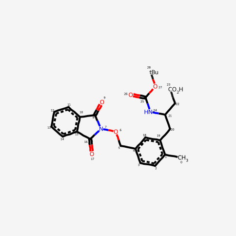 Cc1ccc(CON2C(=O)c3ccccc3C2=O)cc1CC(CC(=O)O)NC(=O)OC(C)(C)C